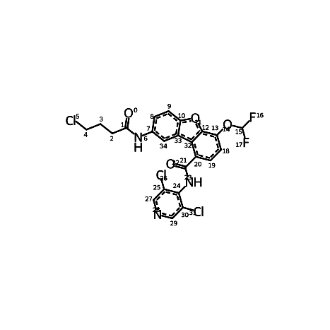 O=C(CCCCl)Nc1ccc2oc3c(OC(F)F)ccc(C(=O)Nc4c(Cl)cncc4Cl)c3c2c1